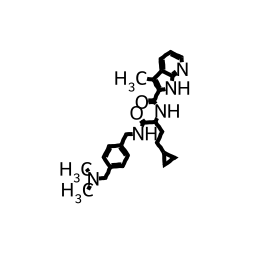 Cc1c(C(=O)NC(CCC2CC2)C(=O)NCc2ccc(CN(C)C)cc2)[nH]c2ncccc12